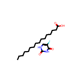 CCCCCCCCCCCCCCCC(=O)O.O=c1[nH]cc(F)c(=O)[nH]1